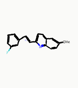 COc1ccc2nc(/C=C/c3cccc(F)c3)ccc2c1